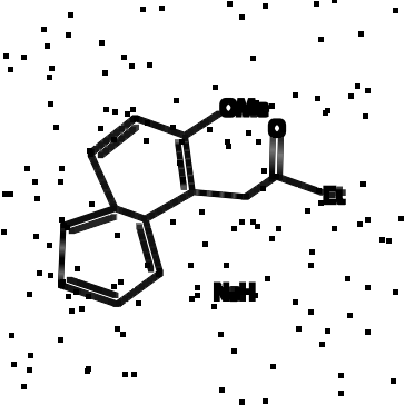 CCC(=O)Cc1c(OC)ccc2ccccc12.[NaH]